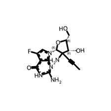 CC#CC1(N)[C@@H](O)[C@@H](CO)O[C@H]1n1cc(F)c2c(=O)[nH]c(N)nc21